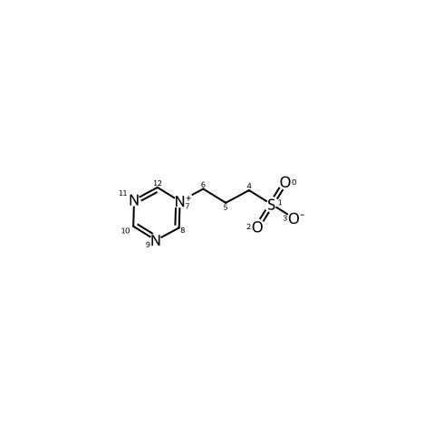 O=S(=O)([O-])CCC[n+]1cncnc1